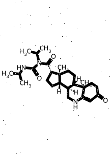 CC(C)NC(=O)N(C(=O)[C@H]1CC[C@H]2[C@@H]3CNC4=CC(=O)CC[C@]4(C)[C@H]3CC[C@]12C)C(C)C